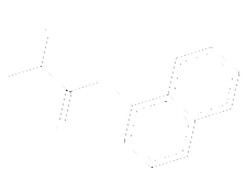 CC(O)C(=O)Oc1cccc2ccccc12